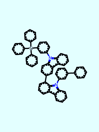 c1ccc(-c2cccc(-n3c4ccccc4c4cccc(-c5ccc6c(c5)c5ccccc5n6-c5cccc([Si](c6ccccc6)(c6ccccc6)c6ccccc6)c5)c43)c2)cc1